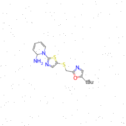 CC(C)(C)c1cnc(CSc2cnc(N3C=CC=CC3N)s2)o1